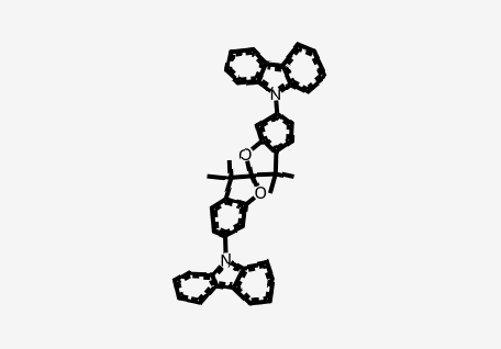 CC1(C)c2ccc(-n3c4ccccc4c4ccccc43)cc2OC12Oc1cc(-n3c4ccccc4c4ccccc43)ccc1C2(C)C